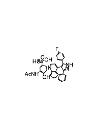 CC(=O)Nc1cc([As](=O)(O)O)ccc1O.Fc1ccc(-c2[nH]nc(-c3ccccc3)c2-c2ccnc3ccccc23)cc1